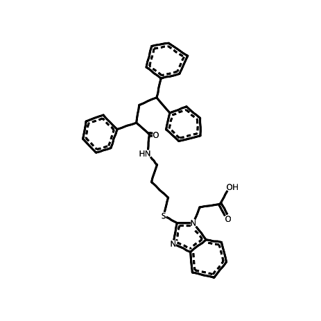 O=C(O)Cn1c(SCCCNC(=O)C(CC(c2ccccc2)c2ccccc2)c2ccccc2)nc2ccccc21